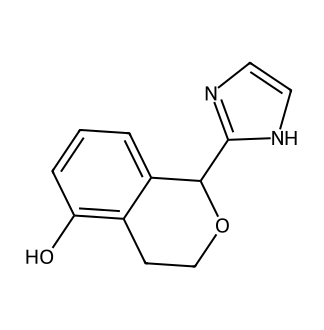 Oc1cccc2c1CCOC2c1ncc[nH]1